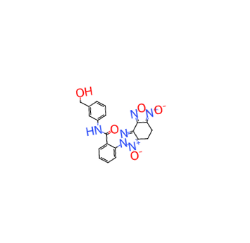 O=C(Nc1cccc(CO)c1)c1ccccc1-n1nc2c([n+]1[O-])CCc1c-2no[n+]1[O-]